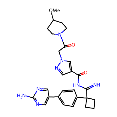 COC1CCN(C(=O)Cn2cc(C(=O)NC(=N)C3(c4ccc(-c5cnc(N)nc5)cc4)CCC3)cn2)CC1